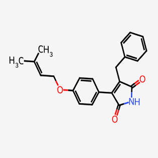 CC(C)=CCOc1ccc(C2=C(Cc3ccccc3)C(=O)NC2=O)cc1